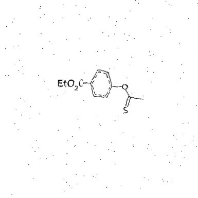 CCOC(=O)c1ccc(OC(C)=S)cc1